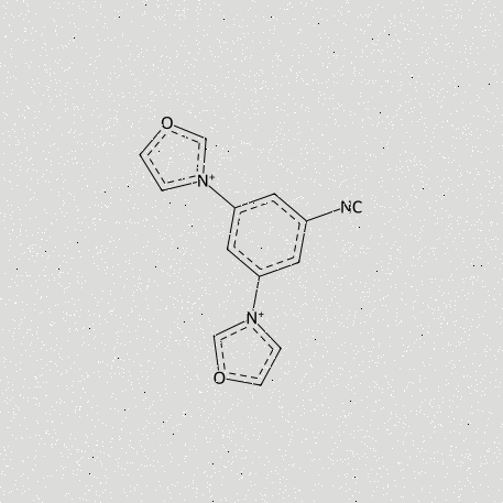 [C-]#[N+]c1cc(-[n+]2ccoc2)cc(-[n+]2ccoc2)c1